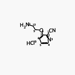 Cl.N#Cc1ncccc1OCCN